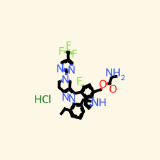 CCc1cccc(CC)c1-n1nc2c(c1-c1c(F)cc(COC(=O)C(C)N)c3[nH]ccc13)CN(c1ncc(C(F)(F)F)cn1)CC2.Cl